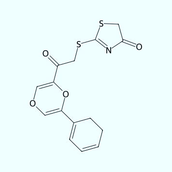 O=C1CSC(SCC(=O)C2=COC=C(C3=CC=CCC3)O2)=N1